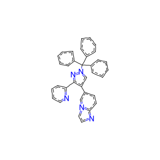 c1ccc(C(c2ccccc2)(c2ccccc2)n2cc(-c3ccc4nccn4c3)c(-c3ccccn3)n2)cc1